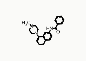 CN1CCN(C2=CCCc3ccc(NC(=O)c4ccccc4)cc32)CC1